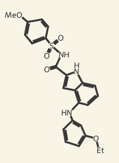 CCOc1cccc(Nc2cccc3[nH]c(C(=O)NS(=O)(=O)c4ccc(OC)cc4)cc23)c1